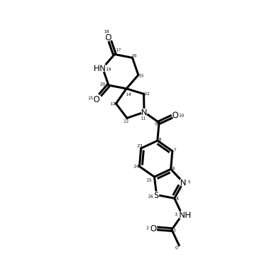 CC(=O)Nc1nc2cc(C(=O)N3CCC4(CCC(=O)NC4=O)C3)ccc2s1